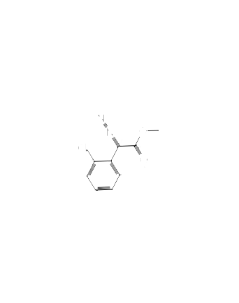 COC(=O)C(=[N+]=[N-])c1ccccc1Cl